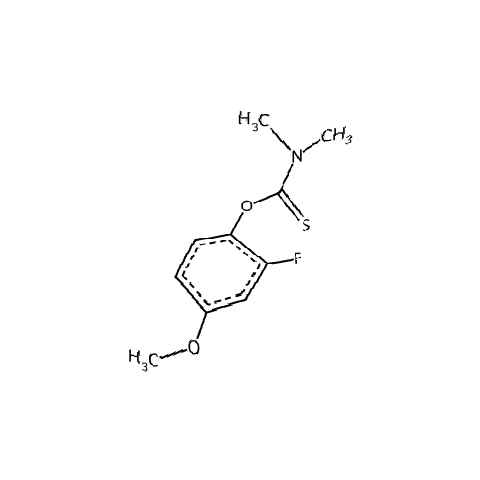 COc1ccc(OC(=S)N(C)C)c(F)c1